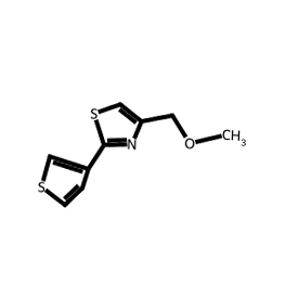 COCc1csc(-c2ccsc2)n1